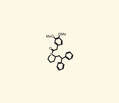 COc1ccc(CC(=O)N2CCCCC2CC(c2ccccc2)c2ccccc2)cc1OC